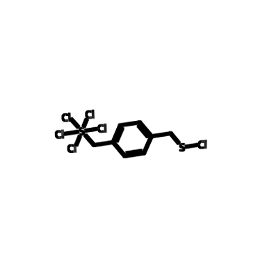 ClSCc1ccc(CS(Cl)(Cl)(Cl)(Cl)Cl)cc1